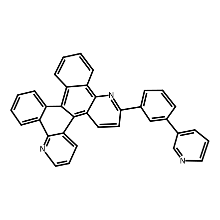 c1cncc(-c2cccc(-c3ccc4c(n3)c3ccccc3c3c5ccccc5c5ncccc5c43)c2)c1